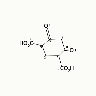 O=C(O)C1CC(C(=O)O)C(=O)CC1=O